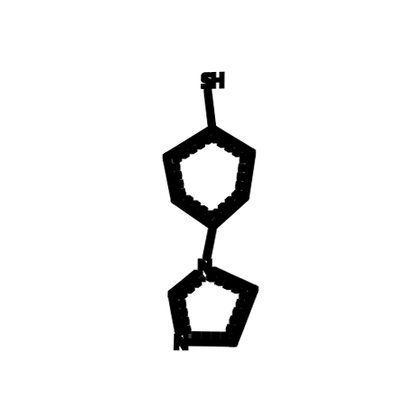 Sc1ccc(-n2ccnc2)cc1